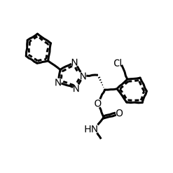 CNC(=O)O[C@H](Cn1nnc(-c2ccccc2)n1)c1ccccc1Cl